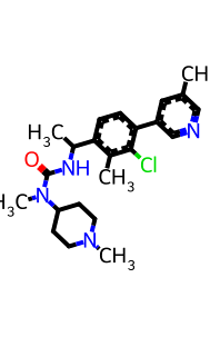 Cc1cncc(-c2ccc(C(C)NC(=O)N(C)C3CCN(C)CC3)c(C)c2Cl)c1